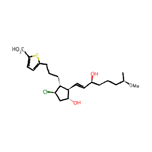 CO[C@H](C)CCC[C@H](O)/C=C/[C@@H]1[C@@H](CCCc2ccc(C(=O)O)s2)[C@H](Cl)C[C@H]1O